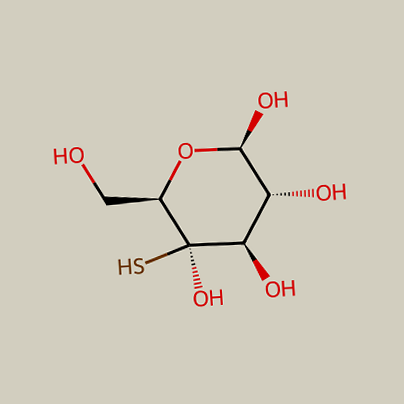 OC[C@H]1O[C@@H](O)[C@H](O)[C@@H](O)[C@@]1(O)S